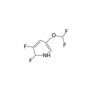 FC1=CC(OC(F)F)=CNC1F